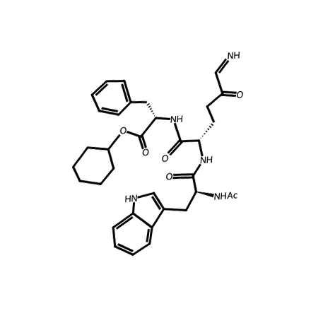 CC(=O)N[C@@H](Cc1c[nH]c2ccccc12)C(=O)N[C@@H](CCC(=O)C=N)C(=O)N[C@@H](Cc1ccccc1)C(=O)OC1CCCCC1